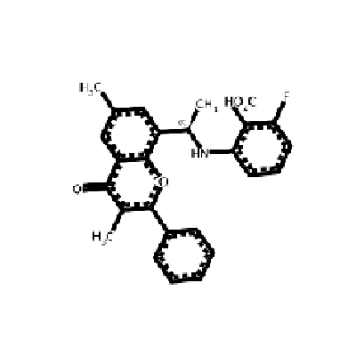 Cc1cc([C@@H](C)Nc2cccc(F)c2C(=O)O)c2oc(-c3ccccc3)c(C)c(=O)c2c1